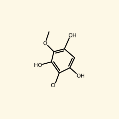 COc1c(O)cc(O)c(Cl)c1O